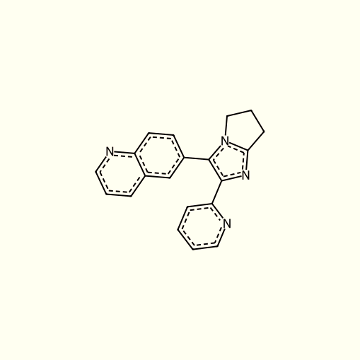 c1ccc(-c2nc3n(c2-c2ccc4ncccc4c2)CCC3)nc1